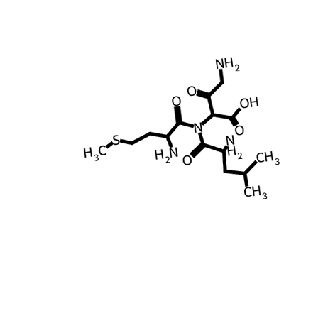 CSCCC(N)C(=O)N(C(=O)C(N)CC(C)C)C(C(=O)O)C(=O)CN